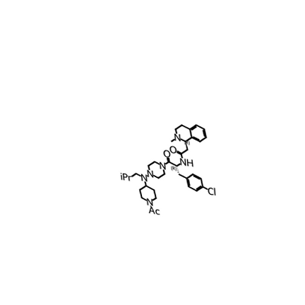 CC(=O)N1CCC(N(CC(C)C)N2CCN(C(=O)[C@@H](Cc3ccc(Cl)cc3)NC(=O)C[C@@H]3c4ccccc4CCN3C)CC2)CC1